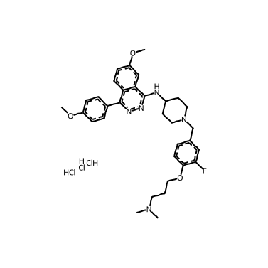 COc1ccc(-c2nnc(NC3CCN(Cc4ccc(OCCCN(C)C)c(F)c4)CC3)c3cc(OC)ccc23)cc1.Cl.Cl.Cl